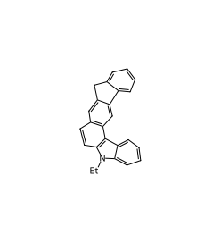 CCn1c2ccccc2c2c3cc4c(cc3ccc21)Cc1ccccc1-4